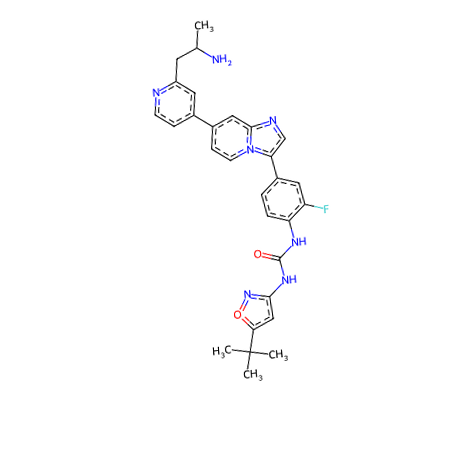 CC(N)Cc1cc(-c2ccn3c(-c4ccc(NC(=O)Nc5cc(C(C)(C)C)on5)c(F)c4)cnc3c2)ccn1